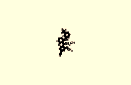 CSc1cc(C#N)ccc1C(N)C1=C(Nc2cccc(C(F)(F)F)c2)CCCC1=O.Cl